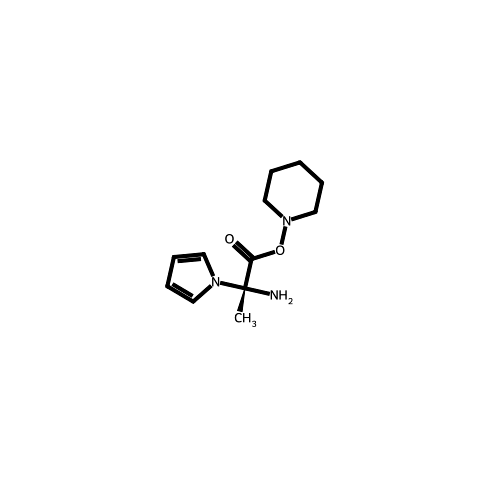 C[C@](N)(C(=O)ON1CCCCC1)n1cccc1